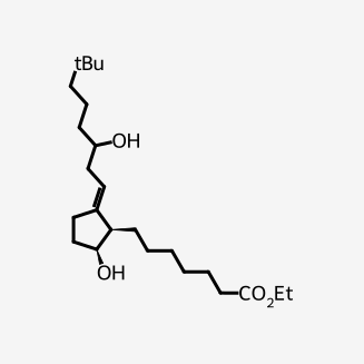 CCOC(=O)CCCCCC[C@@H]1C(=CCC(O)CCCC(C)(C)C)CC[C@@H]1O